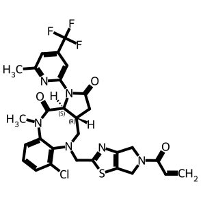 C=CC(=O)N1Cc2nc(CN3C[C@H]4CC(=O)N(c5cc(C(F)(F)F)cc(C)n5)[C@@H]4C(=O)N(C)c4cccc(Cl)c43)sc2C1